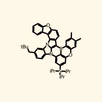 Cc1cc2c(cc1C)B1c3c(cc(S(C(C)C)(C(C)C)C(C)C)cc3-n3c4ccc(CC(C)(C)C)cc4n4c5c(ccc6oc7ccccc7c65)c1c34)O2